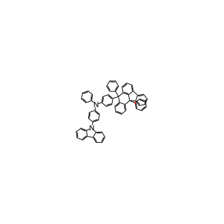 c1ccc(N(c2ccc(-n3c4ccccc4c4ccccc43)cc2)c2ccc(C3(c4ccccc4)c4ccccc4C4(c5ccccc5)c5ccccc5-c5cccc3c54)cc2)cc1